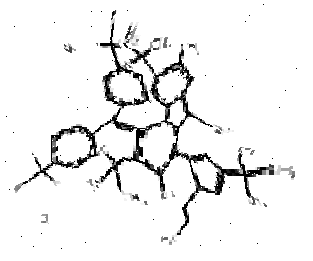 CCCC1C=C(C(C)(C)C)C=C1c1c(C)c(C(C)(C)C)c(=C(c2ccc(C(F)(F)F)cc2)c2ccc(C(F)(F)F)cc2)c2c1[C]([Zr+2])=c1cc(C)c(C(C)(C)C)cc1=2.[Cl-].[Cl-]